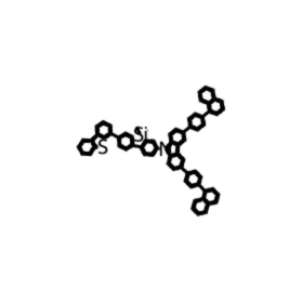 C[Si]1(C)c2cc(-c3cccc4c3sc3ccccc34)ccc2-c2ccc(-n3c4ccc(-c5ccc(-c6cccc7ccccc67)cc5)cc4c4cc(-c5ccc(-c6cccc7ccccc67)cc5)ccc43)cc21